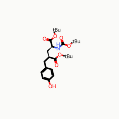 CC(C)(C)OC(=O)N[C@@H](C[C@H](Cc1ccc(O)cc1)C(=O)OC(C)(C)C)C(=O)OC(C)(C)C